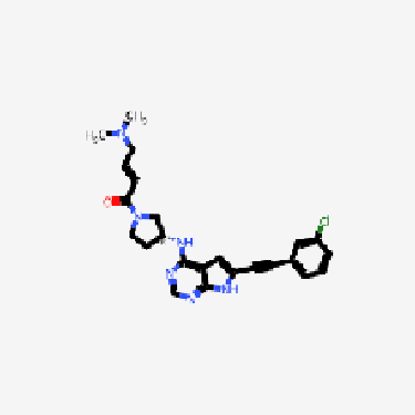 CN(C)CC=CC(=O)N1CC[C@@H](Nc2ncnc3[nH]c(C#Cc4cccc(Cl)c4)cc23)C1